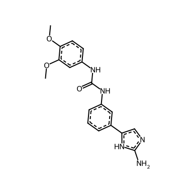 COc1ccc(NC(=O)Nc2cccc(-c3cnc(N)[nH]3)c2)cc1OC